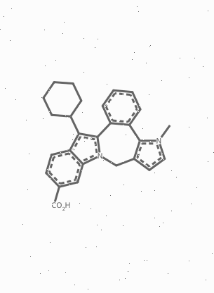 Cn1ccc2c1-c1ccccc1-c1c(C3CCCCC3)c3ccc(C(=O)O)cc3n1C2